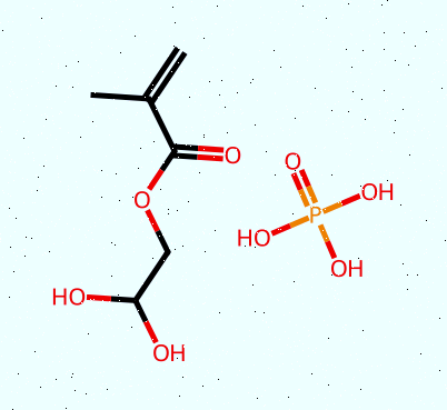 C=C(C)C(=O)OCC(O)O.O=P(O)(O)O